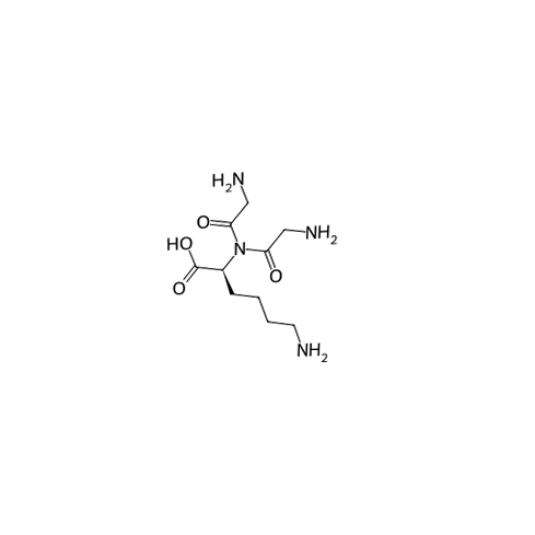 NCCCC[C@@H](C(=O)O)N(C(=O)CN)C(=O)CN